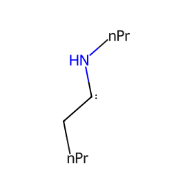 CCCC[C]NCCC